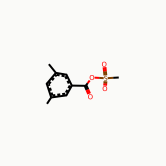 Cc1cc(C)cc(C(=O)OS(C)(=O)=O)c1